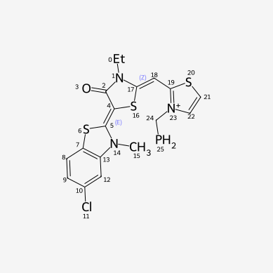 CCn1c(=O)/c(=C2\Sc3ccc(Cl)cc3N2C)s/c1=C\c1scc[n+]1CP